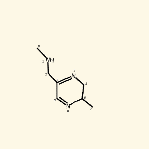 CNCC1=NCC(C)N=C1